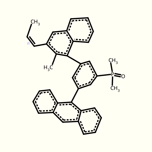 C/C=C\c1cc2ccccc2c(-c2cc(-c3c4ccccc4cc4ccccc34)cc(P(C)(C)=O)c2)c1C